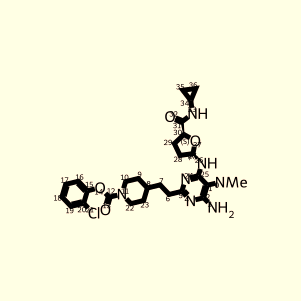 CNc1c(N)nc(CCC2CCN(C(=O)Oc3ccccc3Cl)CC2)nc1N[C@H]1CC[C@@H](C(=O)NC2CC2)O1